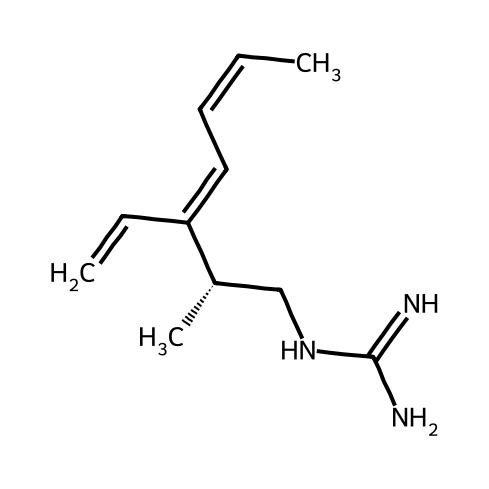 C=C/C(=C\C=C/C)[C@@H](C)CNC(=N)N